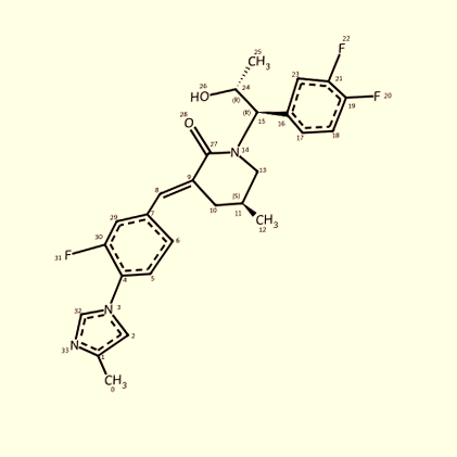 Cc1cn(-c2ccc(C=C3C[C@H](C)CN([C@H](c4ccc(F)c(F)c4)[C@@H](C)O)C3=O)cc2F)cn1